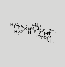 C=C/C=C(\C=C)CNc1cncc(-c2ccc3c(N)nn(C)c3c2)c1